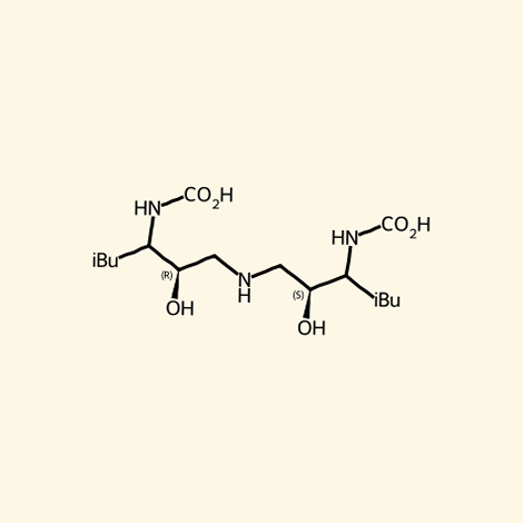 CCC(C)C(NC(=O)O)[C@H](O)CNC[C@H](O)C(NC(=O)O)C(C)CC